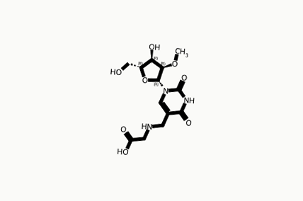 CO[C@@H]1[C@H](O)[C@@H](CO)O[C@H]1n1cc(CNCC(=O)O)c(=O)[nH]c1=O